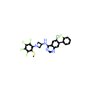 CSc1c(F)c(F)c(F)c(F)c1N1CC(Nc2ncnc3cc(-c4ccccc4F)c(Cl)cc23)C1